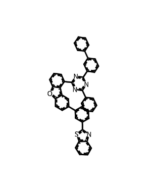 c1ccc(-c2cccc(-c3nc(-c4ccccc4)nc(-c4cccc5oc6ccc(-c7cccc(-c8nc9ccccc9s8)c7)cc6c45)n3)c2)cc1